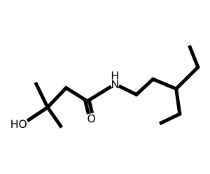 CCC(CC)CCNC(=O)CC(C)(C)O